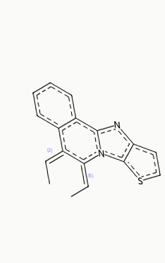 C/C=c1\c(=C/C)n2c(nc3ccsc32)c2ccccc12